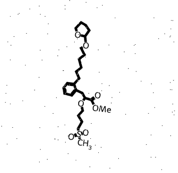 COC(=O)C(Cc1ccccc1CCCCCCOC1CCCCO1)OCCCCS(C)(=O)=O